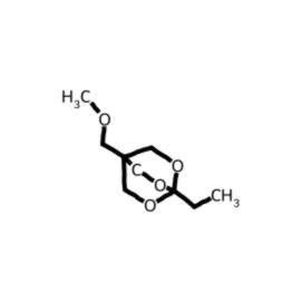 CCC12OCC(COC)(CO1)CO2